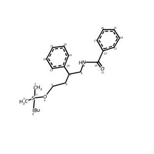 CC(C)(C)[Si](C)(C)OCCC(CNC(=O)c1ccccc1)c1ccccc1